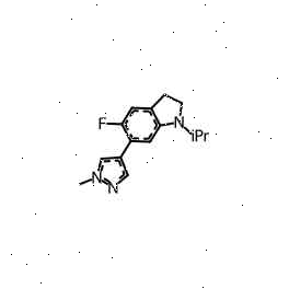 CC(C)N1CCc2cc(F)c(-c3cnn(C)c3)cc21